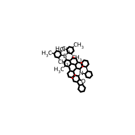 Cc1cc(C)c(B(c2c(C)cc(C)cc2C)c2cc(C)c3c4ccccc4c4c(N(c5ccccc5-c5ccccc5)c5cccc6c5oc5ccccc56)ccc5ccc2c3c54)c(C)c1